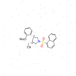 COc1ccccc1[C@@H]1CN(S(=O)(=O)c2cccc3ccccc23)C[C@@H]1CC#N